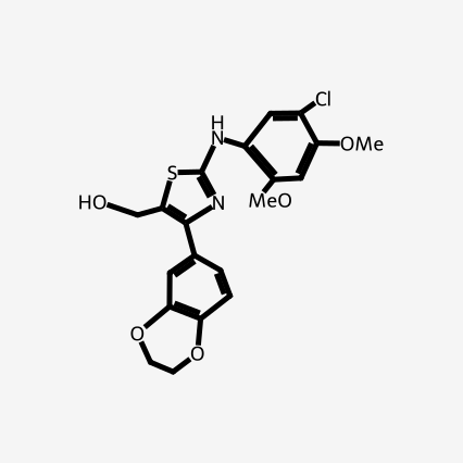 COc1cc(OC)c(Nc2nc(-c3ccc4c(c3)OCCO4)c(CO)s2)cc1Cl